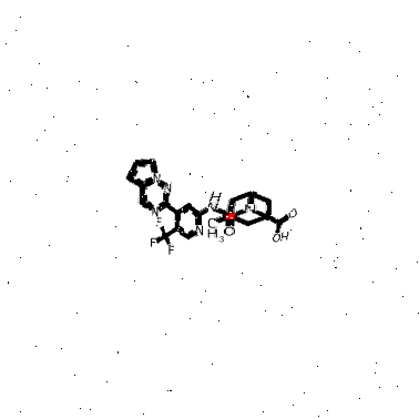 CC1CC2CC(C(=O)O)(C1)N2C(=O)Nc1cc(-c2ncc3cccn3n2)c(C(F)(F)F)cn1